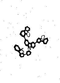 c1cc(-c2cccc3c2sc2ccccc23)cc(-n2c3ccc(-c4ccc5oc6ccccc6c5c4)cc3c3cc(-c4cccc5c4oc4ccccc45)ccc32)c1